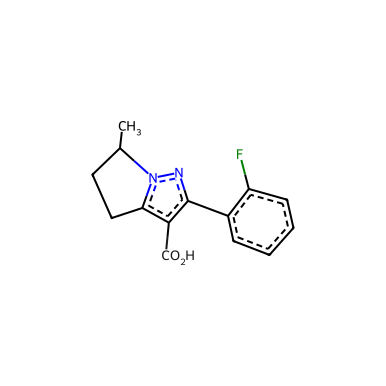 CC1CCc2c(C(=O)O)c(-c3ccccc3F)nn21